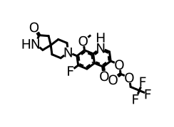 COc1c(N2CCC3(CC2)CNC(=O)C3)c(F)cc2c(=O)c(OC(=O)OCC(F)(F)F)c[nH]c12